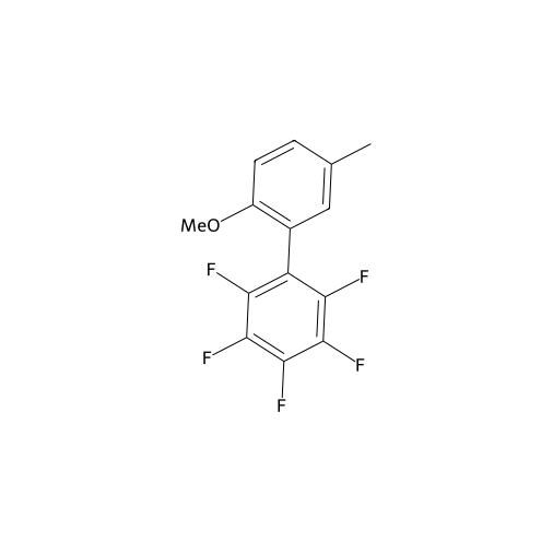 COc1ccc(C)cc1-c1c(F)c(F)c(F)c(F)c1F